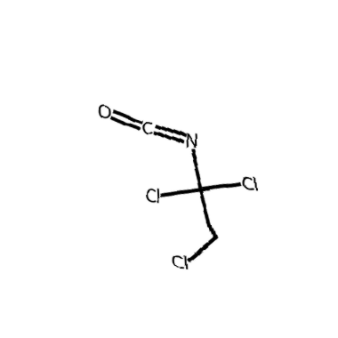 O=C=NC(Cl)(Cl)CCl